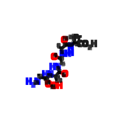 CC(NC(=O)CNC(=O)C(CO)NC(=O)CN)C(=O)NC(C(=O)O)C(C)C